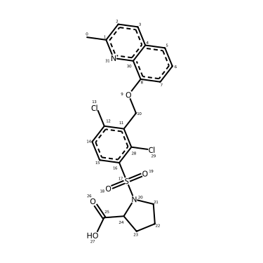 Cc1ccc2cccc(OCc3c(Cl)ccc(S(=O)(=O)N4CCCC4C(=O)O)c3Cl)c2n1